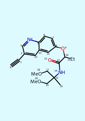 C#Cc1cnc2ccc(OC(CC)C(=O)NC(C)(COC)COC)cc2c1